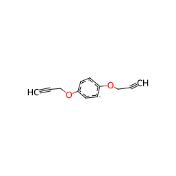 C#CCOc1[c]cc(OCC#C)cc1